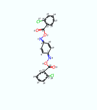 O=C(ON=C1C=CC(=NOC(=O)c2ccccc2Cl)C=C1)c1ccccc1Cl